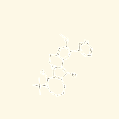 COc1cc2c(cc1-c1cccnc1)-c1c(Br)c3c(n1CC2)C(=O)N(C(C)(C)C)CCCC3